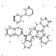 c1ccc(-c2cccc(-c3nc(-n4c5ccccc5c5c6c7ccccc7n7c6c(cc54)Sc4ccccc4-7)nc4ccccc34)c2)cc1